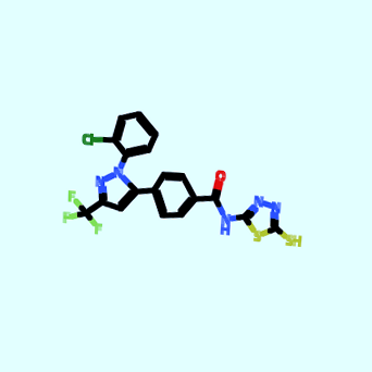 O=C(Nc1nnc(S)s1)c1ccc(-c2cc(C(F)(F)F)nn2-c2ccccc2Cl)cc1